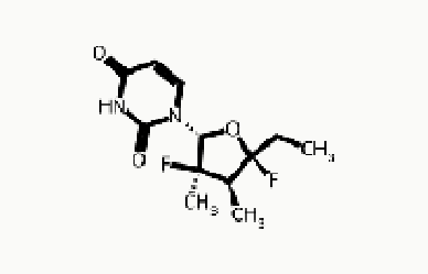 CC[C@@]1(F)O[C@@H](n2ccc(=O)[nH]c2=O)[C@](C)(F)[C@@H]1C